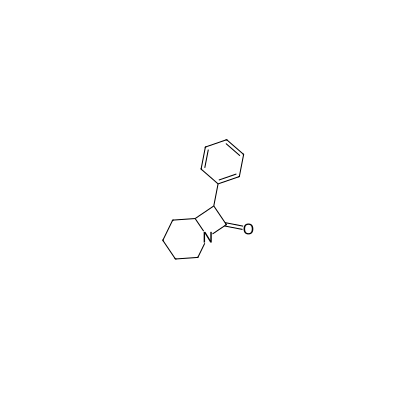 O=C1C(c2ccccc2)C2CCCCN12